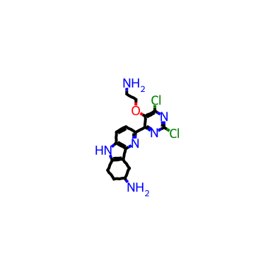 NCCOc1c(Cl)nc(Cl)nc1-c1ccc2[nH]c3c(c2n1)CC(N)CC3